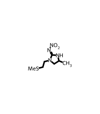 CSCCN1CC(C)NC1=N[N+](=O)[O-]